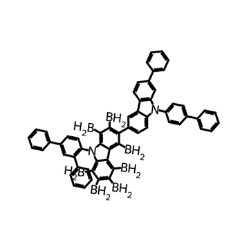 Bc1c(B)c(B)c2c(c1B)c1c(B)c(-c3ccc4c(c3)c3ccc(-c5ccccc5)cc3n4-c3ccc(-c4ccccc4)cc3)c(B)c(B)c1n2-c1ccc(-c2ccccc2)cc1-c1ccccc1